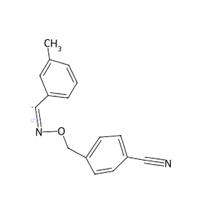 Cc1cccc(/[C]=N\OCc2ccc(C#N)cc2)c1